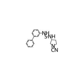 N#CN1CCC(NSNc2cccc(-c3ccccc3)c2)C1